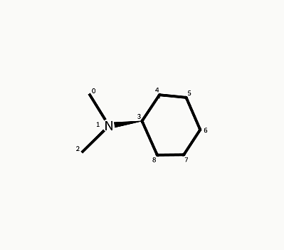 CN(C)[C@H]1[CH]CCCC1